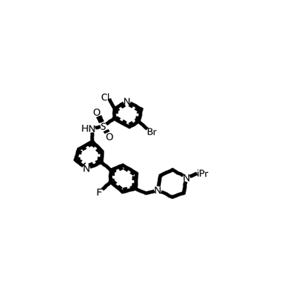 CC(C)N1CCN(Cc2ccc(-c3cc(NS(=O)(=O)c4cc(Br)cnc4Cl)ccn3)c(F)c2)CC1